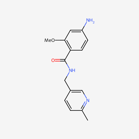 COc1cc(N)ccc1C(=O)NCc1ccc(C)nc1